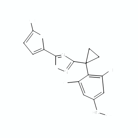 CNc1cc(Cl)c(C2(c3noc(-c4ccc(C)s4)n3)CC2)c(Cl)c1